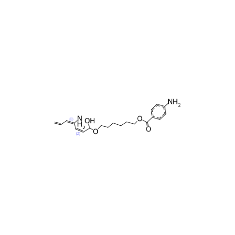 C=C/C=C(N)\C=C/C(O)OCCCCCCOC(=O)c1ccc(N)cc1